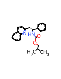 CC(C)COC(=O)N[C@H](Cc1ccc2ccccc2n1)c1ccccc1